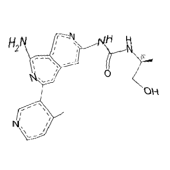 Cc1ccncc1-c1cc2cc(NC(=O)N[C@@H](C)CO)ncc2c(N)n1